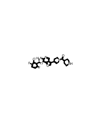 C[C@@H](Oc1c(N)ncc2c(C3=CCN(C(=O)C4CCNCC4)CC3)coc12)c1c(F)ccc(F)c1Cl